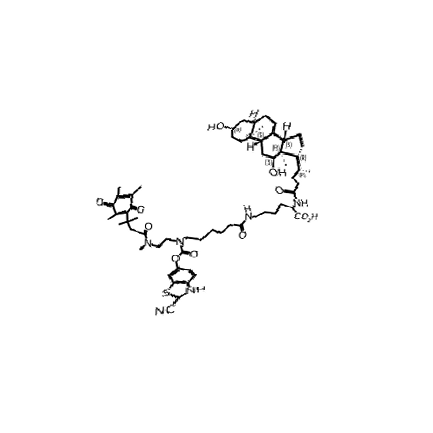 CC1=C(C)C(=O)C(C(C)(C)CC(=O)N(C)CCN(CCCCCC(=O)NCCCCC(NC(=O)CC[C@@H](C)[C@H]2CC[C@H]3C4CC[C@@H]5C[C@H](O)CC[C@]5(C)[C@H]4C[C@H](O)[C@]23C)C(=O)O)C(=O)Oc2ccc3c(c2)SC(C#N)N3)=C(C)C1=O